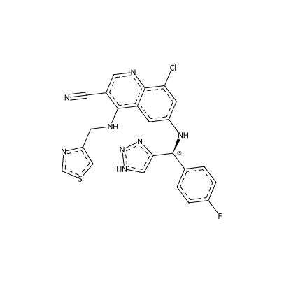 N#Cc1cnc2c(Cl)cc(N[C@@H](c3ccc(F)cc3)c3c[nH]nn3)cc2c1NCc1cscn1